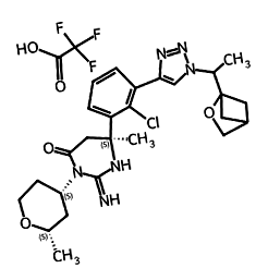 CC(n1cc(-c2cccc([C@]3(C)CC(=O)N([C@H]4CCO[C@@H](C)C4)C(=N)N3)c2Cl)nn1)C12CC(CO1)C2.O=C(O)C(F)(F)F